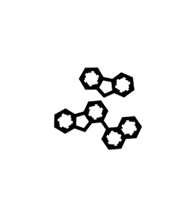 c1ccc2c(c1)Cc1c-2cccc1-c1cccc2ccccc12.c1ccc2c(c1)Cc1ccccc1-2